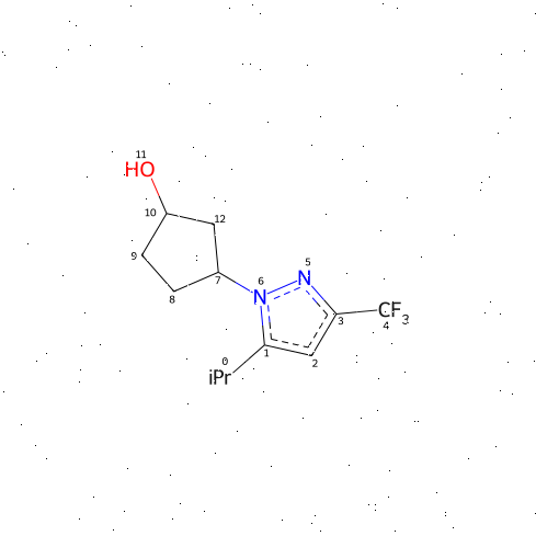 CC(C)c1cc(C(F)(F)F)nn1C1CCC(O)C1